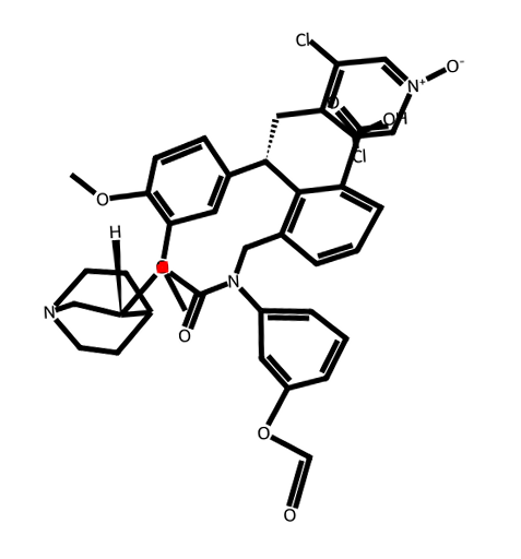 COc1ccc([C@H](Cc2c(Cl)c[n+]([O-])cc2Cl)c2c(CN(C(=O)O[C@H]3CN4CCC3CC4)c3cccc(OC=O)c3)cccc2C(=O)O)cc1OC